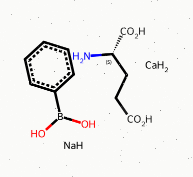 N[C@@H](CCC(=O)O)C(=O)O.OB(O)c1ccccc1.[CaH2].[NaH]